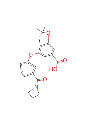 CC1(C)Cc2c(Oc3cccc(C(=O)N4CCC4)c3)cc(C(=O)O)cc2O1